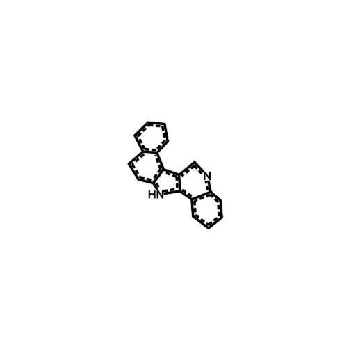 c1ccc2c(c1)ccc1[nH]c3c4ccccc4ncc3c12